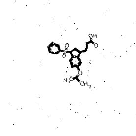 CC(C)Oc1ccc2c(c1)C(CCC(=O)O)=CC2S(=O)(=O)c1ccccc1